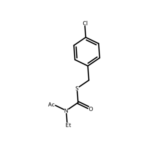 CCN(C(C)=O)C(=O)SCc1ccc(Cl)cc1